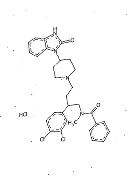 CN(CC(CCN1CCC(n2c(=O)[nH]c3ccccc32)CC1)c1ccc(Cl)c(Cl)c1)C(=O)c1ccccc1.Cl